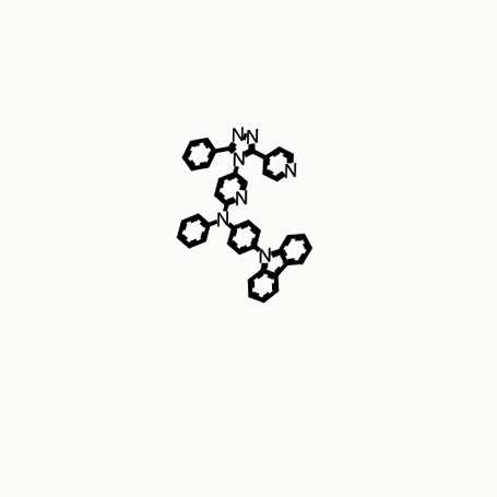 c1ccc(-c2nnc(-c3ccncc3)n2-c2ccc(N(c3ccccc3)c3ccc(-n4c5ccccc5c5ccccc54)cc3)nc2)cc1